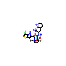 N#C[C@@H](C[C@@H]1CCCNC1=O)NC(=O)[C@H]1[C@@H]2CC[C@@H](CC2(F)F)N1C(=O)c1cc2scc(Cl)c2[nH]1